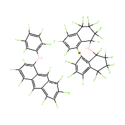 Fc1c(F)c(F)c(Bc2c(F)c(F)c(F)c3c(F)c4c(F)c(F)c(F)c(F)c4c(F)c23)c(F)c1F.Fc1c(F)c(F)c2c(c1F)C(F)(F)C(F)(F)C(F)(F)C2(F)BC1(F)c2c(F)c(F)c(F)c(F)c2C(F)(F)C(F)(F)C1(F)F